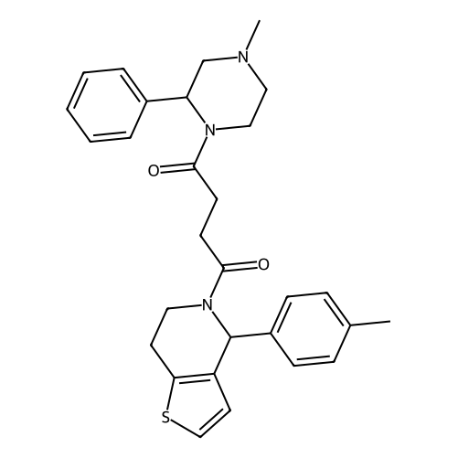 Cc1ccc(C2c3ccsc3CCN2C(=O)CCC(=O)N2CCN(C)CC2c2ccccc2)cc1